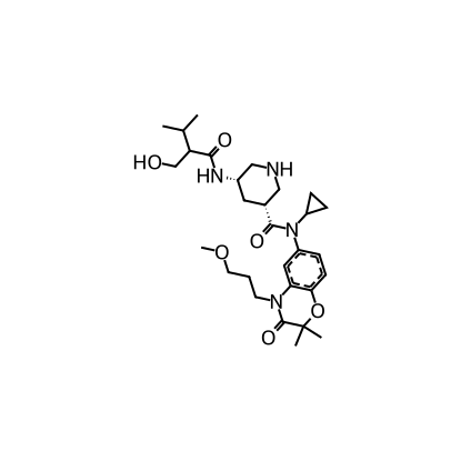 COCCCN1C(=O)C(C)(C)Oc2ccc(N(C(=O)[C@H]3CNC[C@@H](NC(=O)C(CO)C(C)C)C3)C3CC3)cc21